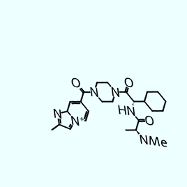 CN[C@@H](C)C(=O)N[C@H](C(=O)N1CCN(C(=O)C2=CC3N=C(C)C=[N+]3C=C2)CC1)C1CCCCC1